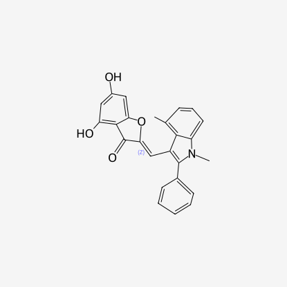 Cc1cccc2c1c(/C=C1\Oc3cc(O)cc(O)c3C1=O)c(-c1ccccc1)n2C